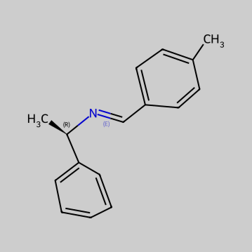 Cc1ccc(/C=N/[C@H](C)c2ccccc2)cc1